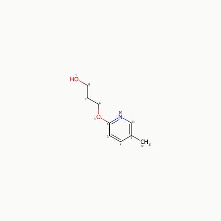 Cc1ccc(OCCCO)nc1